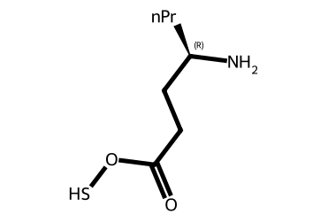 CCC[C@@H](N)CCC(=O)OS